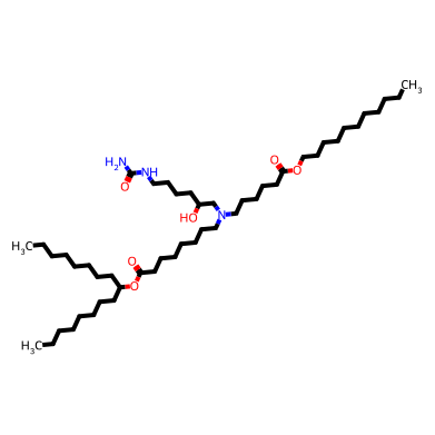 CCCCCCCCCCCOC(=O)CCCCCN(CCCCCCCC(=O)OC(CCCCCCCC)CCCCCCCC)CC(O)CCCCNC(N)=O